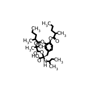 CCCC(C)C(=O)Oc1ccc(C[C@](NC(C)CC)(OC(=O)C(C)(C)C)C(=O)O)cc1OC(=O)C(C)CCC